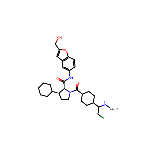 O=C(O)NC(CF)C1CCC(C(=O)N2CC[C@@H](C3CCCCC3)[C@H]2C(=O)Nc2ccc3oc(CO)cc3c2)CC1